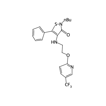 CCCCn1sc(-c2ccccc2)c(NCCOc2ccc(C(F)(F)F)cn2)c1=O